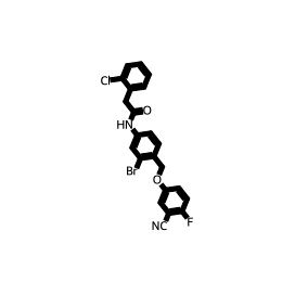 N#Cc1cc(OCc2ccc(NC(=O)Cc3ccccc3Cl)cc2Br)ccc1F